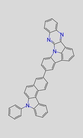 c1ccc(-n2c3ccccc3c3c4ccc(-c5ccc6c(c5)c5cccc7c8nc9ccccc9nc8n6c57)cc4ccc32)cc1